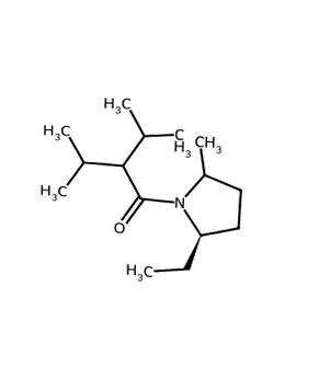 CC[C@@H]1CCC(C)N1C(=O)C(C(C)C)C(C)C